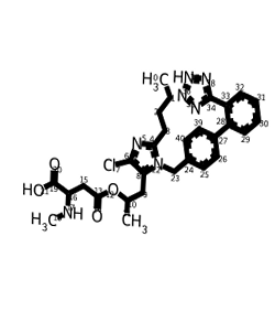 CCCCc1nc(Cl)c(CC(C)OC(=O)CC(NC)C(=O)O)n1Cc1ccc(-c2ccccc2-c2nn[nH]n2)cc1